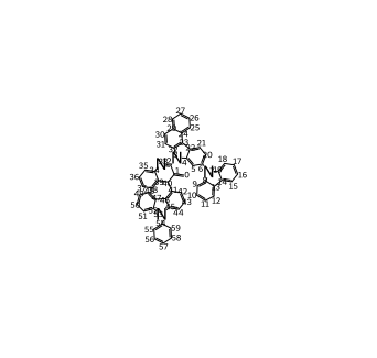 C=C1C(n2c3cc(-n4c5ccccc5c5ccccc54)ccc3c3c4ccccc4ccc32)=Nc2ccccc2C1c1cccc2c1c1ccccc1n2-c1ccccc1